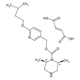 CC(C)CCOc1ccc(COC(=O)N2[C@H](C)CNC[C@@H]2C)cn1.O=C(O)C=CC(=O)O